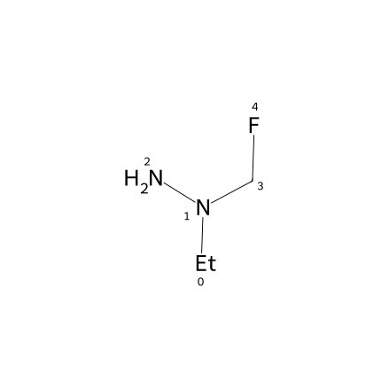 CCN(N)CF